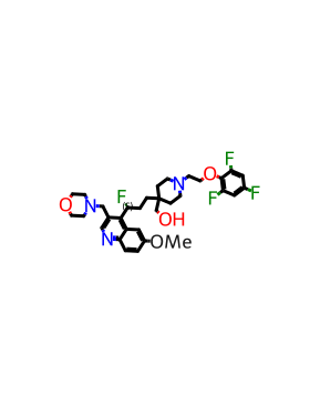 COc1ccc2ncc(CN3CCOCC3)c([C@@H](F)CCC3(CO)CCN(CCOc4c(F)cc(F)cc4F)CC3)c2c1